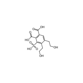 O=C(O)c1cc(CCO)c(CCO)c(S(=O)(=O)O)c1C(=O)O